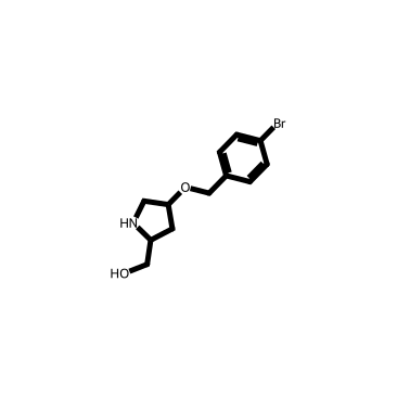 OCC1CC(OCc2ccc(Br)cc2)CN1